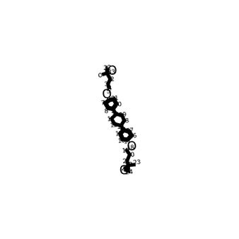 CC1(CCCOc2ccc(C3CCC(c4ccc(OCCCC5(C)CO5)cc4)CC3)cc2)CO1